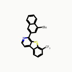 CC(C)(C)c1cc(-c2nccc3c2sc2c(C(F)(F)F)cccc23)cc2ccccc12